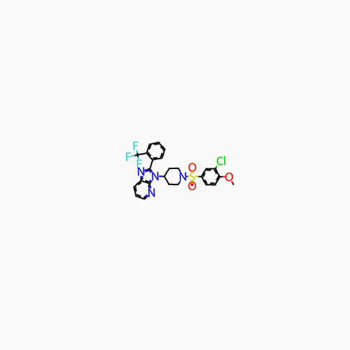 COc1ccc(S(=O)(=O)N2CCC(n3c(-c4ccccc4C(F)(F)F)nc4cccnc43)CC2)cc1Cl